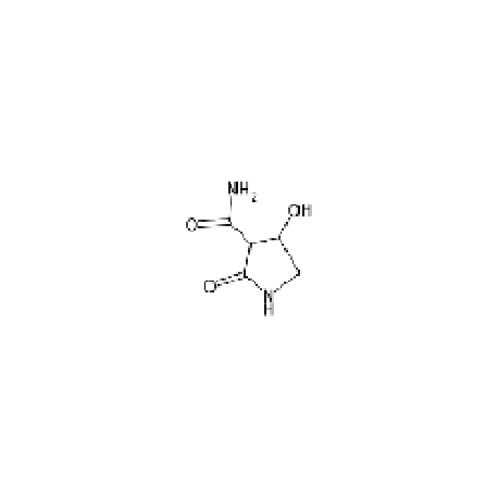 NC(=O)C1C(=O)NCC1O